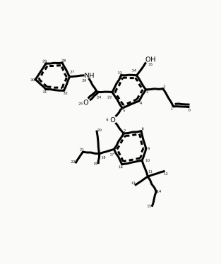 C=CCc1cc(Oc2ccc(C(C)(C)CC)cc2C(C)(C)CC)c(C(=O)Nc2ccccc2)cc1O